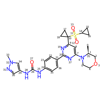 C[C@H]1COCCN1c1cc(C2(S(=O)(=O)C3CC3)CC2)nc(-c2ccc(NC(=O)Nc3cnn(C)c3)cc2)n1